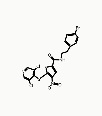 O=C(NCCc1ccc(Br)cc1)c1cc([N+](=O)[O-])c(Sc2c(Cl)cncc2Cl)s1